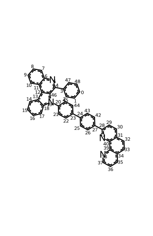 c1ccc(-c2nc3ccccc3c3c4ccccc4n(-c4ccc(-c5ccc(-c6ccc7ccc8cccnc8c7n6)cc5)cc4)c23)cc1